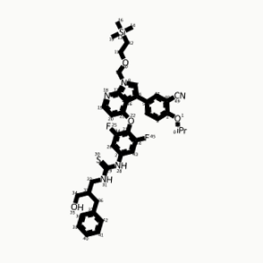 CC(C)Oc1ccc(-c2cn(COCC[Si](C)(C)C)c3nccc(Oc4c(F)cc(NC(=S)NCC(CO)Cc5ccccc5)cc4F)c23)cc1C#N